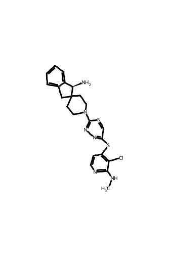 CNc1nccc(Sc2cnc(N3CCC4(CC3)Cc3ccccc3[C@H]4N)nn2)c1Cl